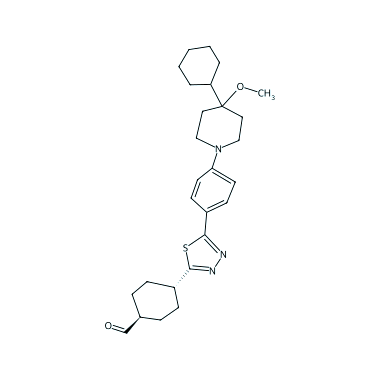 COC1(C2CCCCC2)CCN(c2ccc(-c3nnc([C@H]4CC[C@H](C=O)CC4)s3)cc2)CC1